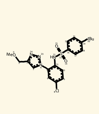 COCc1cn(-c2cc(Cl)ccc2NS(=O)(=O)c2ccc(C(C)(C)C)cc2)nn1